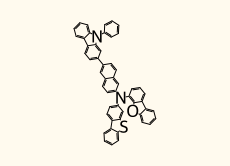 c1ccc(-n2c3ccccc3c3ccc(-c4ccc5cc(N(c6ccc7c(c6)sc6ccccc67)c6cccc7c6oc6ccccc67)ccc5c4)cc32)cc1